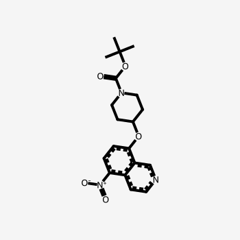 CC(C)(C)OC(=O)N1CCC(Oc2ccc([N+](=O)[O-])c3ccncc23)CC1